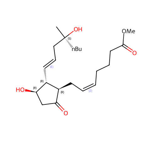 CCCC[C@](C)(O)C/C=C/[C@H]1[C@H](O)CC(=O)[C@@H]1C/C=C\CCCC(=O)OC